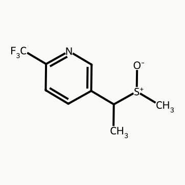 CC(c1ccc(C(F)(F)F)nc1)[S+](C)[O-]